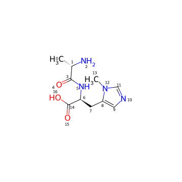 C[C@H](N)C(=O)N[C@@H](Cc1cncn1C)C(=O)O